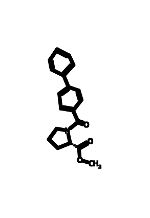 COC(=O)[C@@H]1CCCN1C(=O)c1ccc(-c2ccccc2)cc1